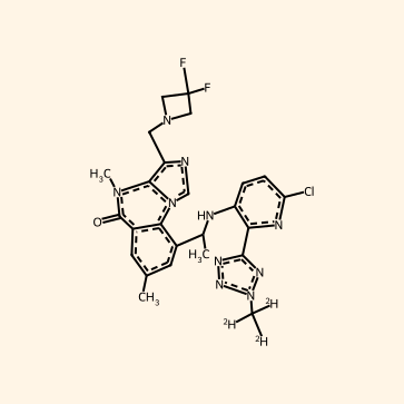 [2H]C([2H])([2H])n1nnc(-c2nc(Cl)ccc2NC(C)c2cc(C)cc3c(=O)n(C)c4c(CN5CC(F)(F)C5)ncn4c23)n1